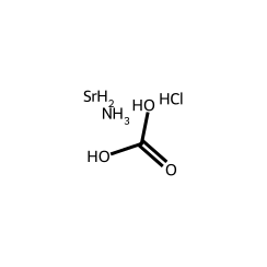 Cl.N.O=C(O)O.[SrH2]